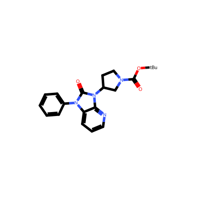 CC(C)(C)OC(=O)N1CCC(n2c(=O)n(-c3ccccc3)c3cccnc32)C1